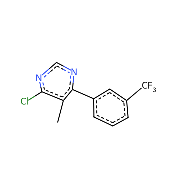 Cc1c(Cl)ncnc1-c1cccc(C(F)(F)F)c1